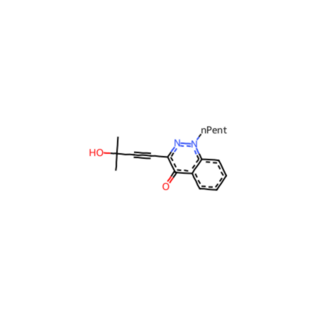 CCCCCn1nc(C#CC(C)(C)O)c(=O)c2ccccc21